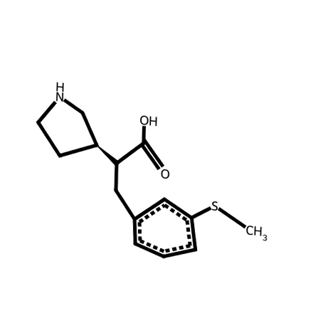 CSc1cccc(CC(C(=O)O)[C@H]2CCNC2)c1